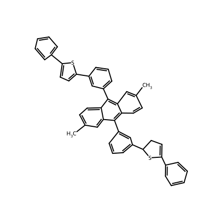 Cc1ccc2c(-c3cccc(C4CC=C(c5ccccc5)S4)c3)c3cc(C)ccc3c(-c3cccc(-c4ccc(-c5ccccc5)s4)c3)c2c1